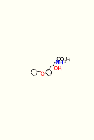 O=C(O)NCC(O)Cc1cccc(OCC2CCCCC2)c1